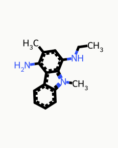 CCNc1cc(C)c(N)c2c3ccccc3n(C)c12